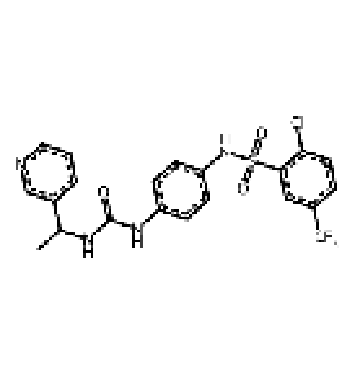 CC(NC(=O)Nc1ccc(NS(=O)(=O)c2cc(C(F)(F)F)ccc2Cl)cc1)c1cccnc1